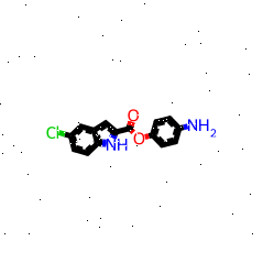 Nc1ccc(OC(=O)c2cc3cc(Cl)ccc3[nH]2)cc1